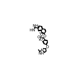 COP(=O)(OC)C(Oc1ccc2ccc(C(=N)N)cc2c1)c1ccc(OC2CCN(C(C)=N)C2)cc1